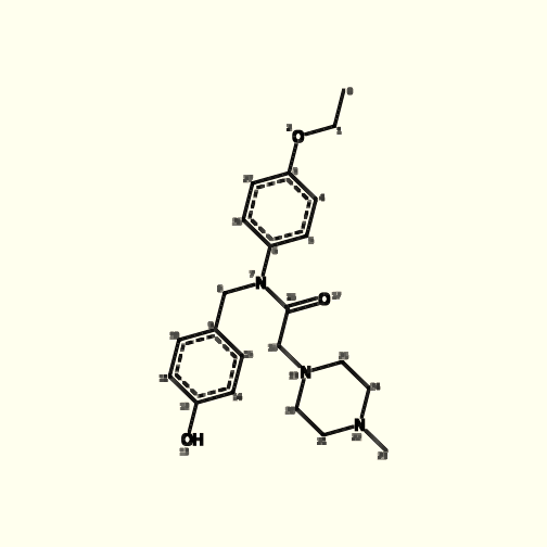 CCOc1ccc(N(Cc2ccc(O)cc2)C(=O)CN2CCN(C)CC2)cc1